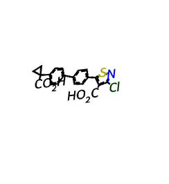 O=C(O)c1c(Cl)nsc1-c1ccc(-c2ccc(C3(C(=O)O)CC3)cc2)cc1